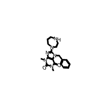 Cn1c(=O)c2c(nc(N3CCCNCC3)n2Cc2ccccc2)n(C)c1=O